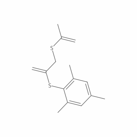 C=C(C)SCC(=C)Sc1c(C)cc(C)cc1C